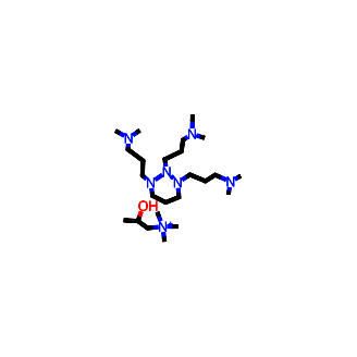 CC(O)C[N+](C)(C)C.CN(C)CCCN1CCCN(CCCN(C)C)N1CCCN(C)C